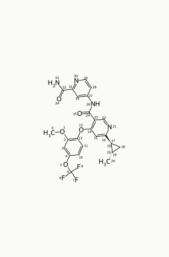 COc1cc(OC(F)(F)F)ccc1Oc1cc([C@H]2C[C@@H]2C)ncc1C(=O)Nc1ccnc(C(N)=O)c1